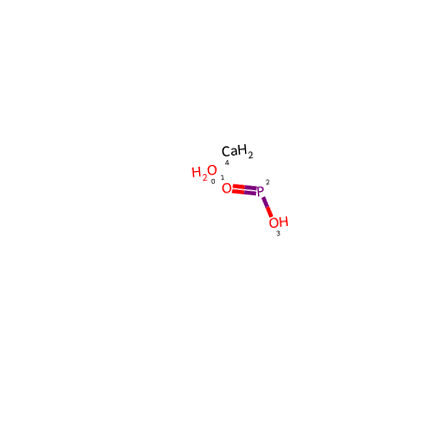 O.O=PO.[CaH2]